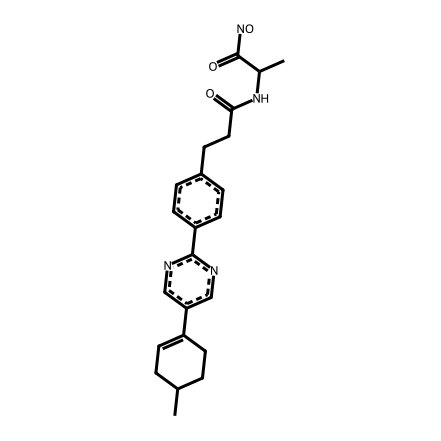 CC1CC=C(c2cnc(-c3ccc(CCC(=O)NC(C)C(=O)N=O)cc3)nc2)CC1